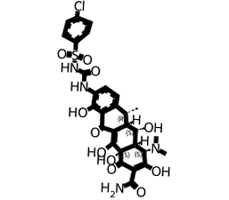 C[C@H]1c2ccc(NC(=O)NS(=O)(=O)c3ccc(Cl)cc3)c(O)c2C(=O)C2=C(O)[C@]3(O)C(=O)C(C(N)=O)=C(O)[C@@H](N(C)C)[C@@H]3[C@@H](O)[C@@H]21